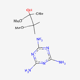 COC(C)(C)C(O)(OC)OC.Nc1nc(N)nc(N)n1